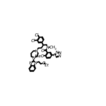 CCOCCn1c(N2CCCN(CCC(CN(C)C(=O)c3cc(-n4cnnn4)ccc3OC)c3ccc(Cl)c(Cl)c3)CC2)nc2ccccc21